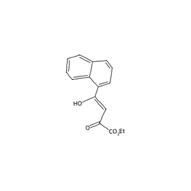 CCOC(=O)C(=O)/C=C(\O)c1cccc2ccccc12